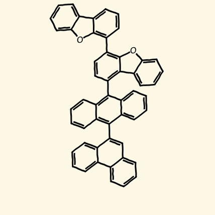 c1ccc2c(c1)cc(-c1c3ccccc3c(-c3ccc(-c4cccc5c4oc4ccccc45)c4oc5ccccc5c34)c3ccccc13)c1ccccc12